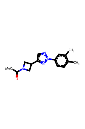 COC(=O)N1CC(c2cnn(-c3ccc(C)c(C)c3)n2)C1